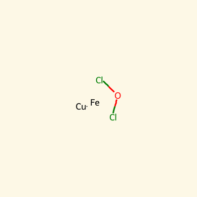 ClOCl.[Cu].[Fe]